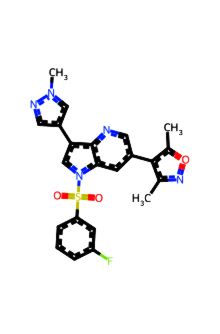 Cc1noc(C)c1-c1cnc2c(-c3cnn(C)c3)cn(S(=O)(=O)c3cccc(F)c3)c2c1